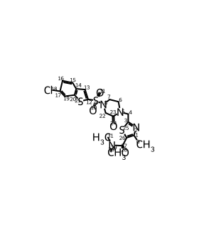 Cc1nc(CN2CCN(S(=O)(=O)c3cc4ccc(Cl)cc4s3)CC2=O)sc1C(=O)N(C)C